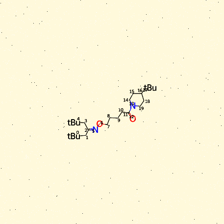 CC(C)(C)CC(CC(C)(C)C)=NOCCCCC(=O)N1CCC(C(C)(C)C)CC1